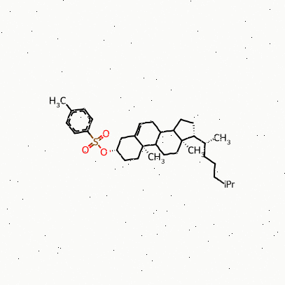 Cc1ccc(S(=O)(=O)O[C@H]2CC[C@@]3(C)C(=CCC4C3CC[C@@]3(C)C4CC[C@@H]3[C@H](C)CCCC(C)C)C2)cc1